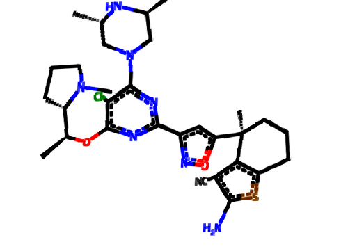 C[C@H](Oc1nc(-c2cc([C@@]3(C)CCCc4sc(N)c(C#N)c43)on2)nc(N2C[C@H](C)N[C@@H](C)C2)c1Cl)[C@@H]1CCCN1C